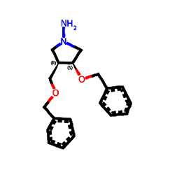 NN1C[C@H](COCc2ccccc2)[C@H](OCc2ccccc2)C1